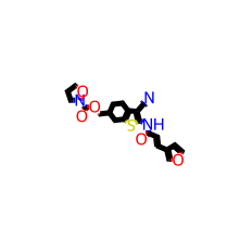 N#Cc1c(NC(=O)C=Cc2ccoc2)sc2c1CCC(COC(=O)N1CCCO1)C2